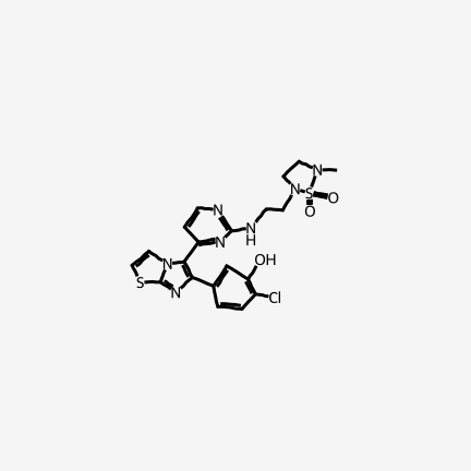 CN1CCN(CCNc2nccc(-c3c(-c4ccc(Cl)c(O)c4)nc4sccn34)n2)S1(=O)=O